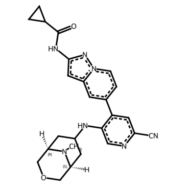 CN1[C@@H]2COC[C@H]1CC(Nc1cnc(C#N)cc1-c1ccn3nc(NC(=O)C4CC4)cc3c1)C2